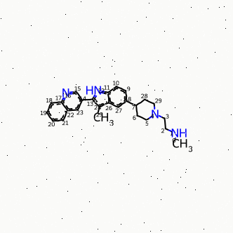 CNCCN1CCC(c2ccc3[nH]c(-c4cnc5ccccc5c4)c(C)c3c2)CC1